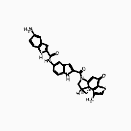 Cc1csc2c1[C@@]13C[C@@H]1CN(C(=O)c1cc4cc(NC(=O)c5cc6cc(N)ccc6[nH]5)ccc4[nH]1)C3=CC2=O